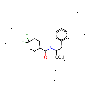 O=C(NC(Cc1ccccc1)C(=O)O)C1CCC(F)(F)CC1